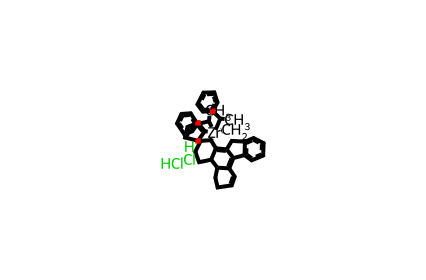 Cl.Cl.[CH2]=[Zr]([C]1=CC=CC1)([CH]1CCCC2C1=C1Cc3ccccc3C1=C1C=CCCC12)([CH](C)c1ccccc1)[CH](C)c1ccccc1